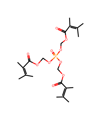 CC(C)=C(C)C(=O)OCOP(=O)(OCOC(=O)C(C)=C(C)C)OCOC(=O)C(C)=C(C)C